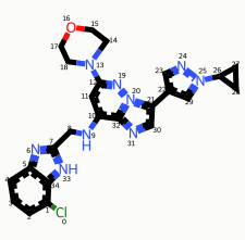 Clc1cccc2nc(CNc3cc(N4CCOCC4)nn4c(-c5cnn(C6CC6)c5)cnc34)[nH]c12